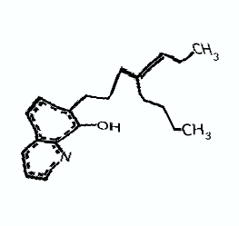 CC/C=C(\CCCC)CCCc1ccc2cccnc2c1O